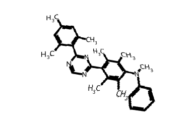 Cc1cc(C)c(-c2ncnc(-c3c(C)c(C)c(N(C)c4ccccc4)c(C)c3C)n2)c(C)c1